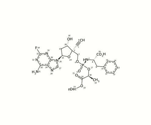 C#C[C@]1(CO[P@](=O)(N[C@@H](Cc2ccccc2)C(=O)O)O[C@@H](C)C(=O)OCCCCCCCCCC)O[C@@H](n2cnc3c(N)nc(F)nc32)C[C@@H]1O